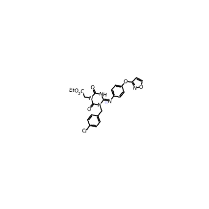 CCOC(=O)Cn1c(=O)[nH]/c(=N\c2ccc(Oc3ccon3)cc2)n(Cc2ccc(Cl)cc2)c1=O